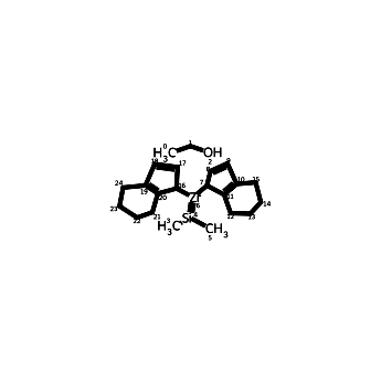 CCO.C[Si](C)=[Zr]([CH]1C=CC2=C1CCCC2)[CH]1C=CC2=C1CCCC2